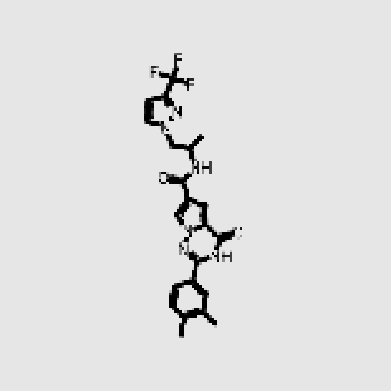 Cc1ccc(-c2nn3cc(C(=O)NC(C)Cn4ccc(C(F)(F)F)n4)cc3c(=O)[nH]2)cc1C